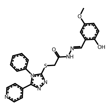 COc1ccc(O)c(/C=N/NC(=O)CSc2nnc(-c3ccncc3)n2-c2ccccc2)c1